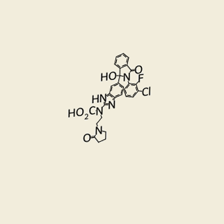 O=C1CCCN1CCN(C(=O)O)c1nc2ccc(C3(O)c4ccccc4C(=O)N3c3cccc(Cl)c3F)cc2[nH]1